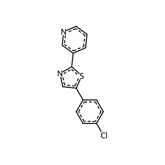 Clc1ccc(-c2cnc(-c3cccnc3)s2)cc1